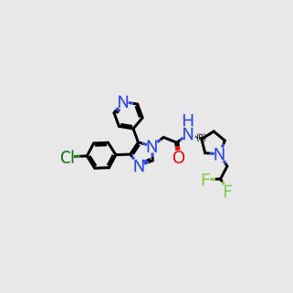 O=C(Cn1cnc(-c2ccc(Cl)cc2)c1-c1ccncc1)N[C@@H]1CCN(CC(F)F)C1